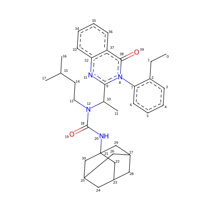 CCc1ccccc1-n1c(C(C)N(CCC(C)C)C(=O)NC23CC4CC(CC(C4)C2)C3)nc2ccccc2c1=O